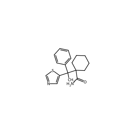 [CH2]C(c1ccccc1)(c1cncs1)C1(C(N)=O)CCCCC1